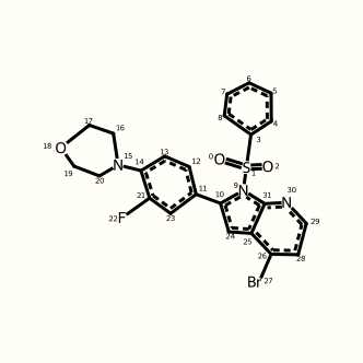 O=S(=O)(c1ccccc1)n1c(-c2ccc(N3CCOCC3)c(F)c2)cc2c(Br)ccnc21